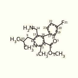 COC(=O)c1c(C)nc(CC(C)C)c(CN)c1-c1ccc(F)cc1